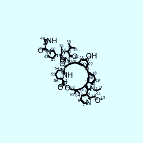 CCn1c(-c2cccnc2[C@H](C)OC)c2c3cc(ccc31)-c1cc(O)cc(c1)C[C@H](NC(=O)C(C(C)C)N(C)C(=O)[C@@H]1CCN(C(=O)[C@H]3CN3)C1)C(=O)N1CCC[C@H](N1)C(=O)OCC(C)(C)C2